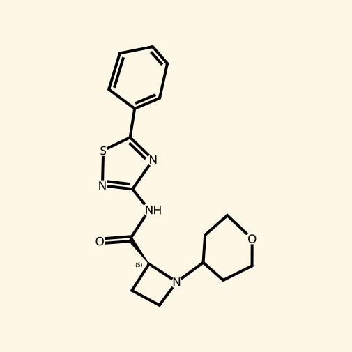 O=C(Nc1nsc(-c2ccccc2)n1)[C@@H]1CCN1C1CCOCC1